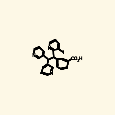 O=C(O)c1cccc(C(c2ncccc2I)C(c2cccnc2)c2cccnc2)c1